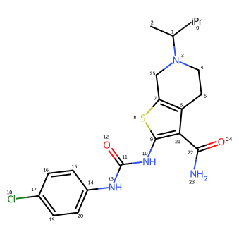 CC(C)C(C)N1CCc2c(sc(NC(=O)Nc3ccc(Cl)cc3)c2C(N)=O)C1